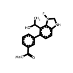 COC(=O)c1cccc(-c2ccc3c(c2C(C)O)N(F)CN3)c1